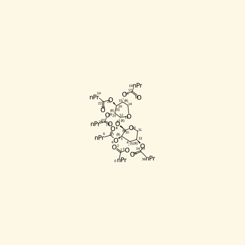 CCCC(=O)O[C@@H]1[C@@H](OC(=O)CCC)[C@@H](O[C@H]2OC[C@@H](OC(=O)CCC)[C@H](OC(=O)CCC)[C@H]2OC(=O)CCC)OC[C@H]1OC(=O)CCC